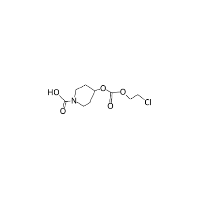 O=C(OCCCl)OC1CCN(C(=O)O)CC1